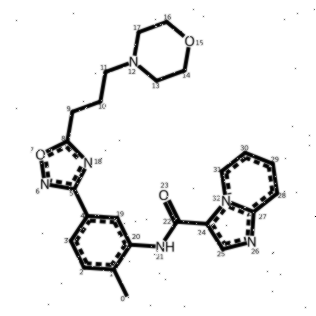 Cc1ccc(-c2noc(CCCN3CCOCC3)n2)cc1NC(=O)c1cnc2ccccn12